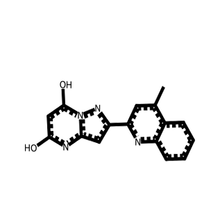 Cc1cc(-c2cc3nc(O)cc(O)n3n2)nc2ccccc12